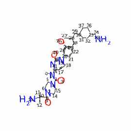 CN(C(=O)N1CCN(C(=O)C(C)(C)N)CC1)c1ccn(-c2ccc3c(c2)OCC(CC2CCC(CN)CC2)C3)c(=O)n1